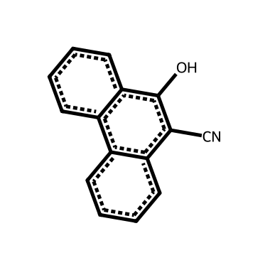 N#Cc1c(O)c2ccccc2c2ccccc12